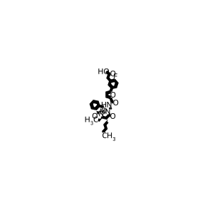 CCCCC[C@@H](C(=O)NCNC(=O)c1ccc(-c2ccc(F)c(CC(=O)O)c2)o1)[C@@H](CC)N(C=O)OCc1ccccc1